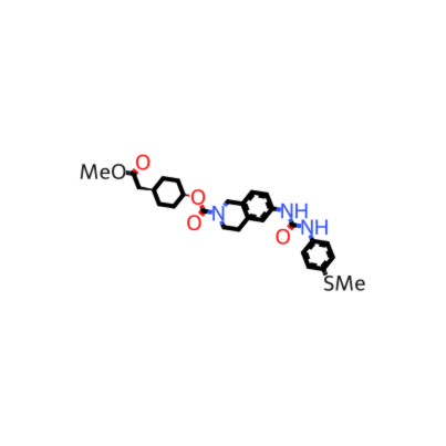 COC(=O)C[C@H]1CC[C@H](OC(=O)N2CCc3cc(NC(=O)Nc4ccc(SC)cc4)ccc3C2)CC1